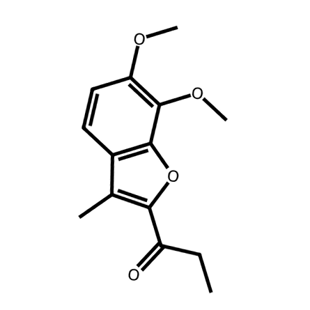 CCC(=O)c1oc2c(OC)c(OC)ccc2c1C